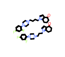 O=C1CCCc2c1ccn2CCCCN1CCN(c2ccc(F)cc2F)CC1.O=C1CCCc2c1ccn2CCCN1CCN(c2ccc(F)cc2F)CC1